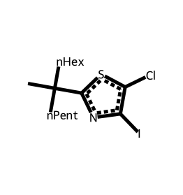 CCCCCCC(C)(CCCCC)c1nc(I)c(Cl)s1